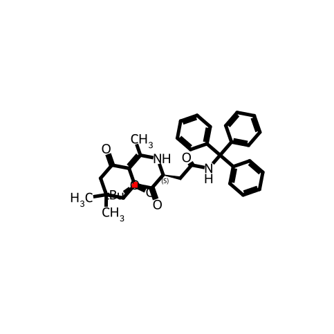 CC(N[C@@H](CC(=O)NC(c1ccccc1)(c1ccccc1)c1ccccc1)C(=O)OC(C)(C)C)=C1C(=O)CC(C)(C)CC1=O